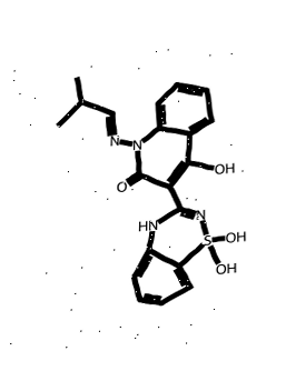 CC(C)C=Nn1c(=O)c(C2=NS(O)(O)c3ccccc3N2)c(O)c2ccccc21